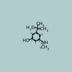 CNc1cc(O)cc(C(C)(C)C)c1